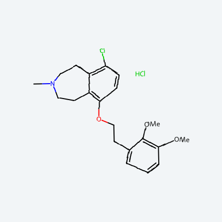 COc1cccc(CCOc2ccc(Cl)c3c2CCN(C)CC3)c1OC.Cl